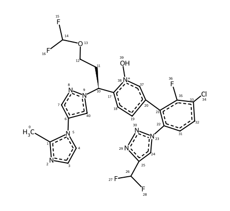 Cc1nccn1-c1cnn([C@@H](CCOC(F)F)c2ccc(-c3c(-n4cc(C(F)F)nn4)ccc(Cl)c3F)c[n+]2O)c1